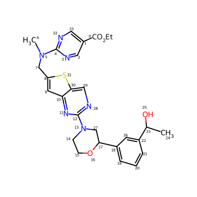 CCOC(=O)c1cnc(N(C)Cc2cc3nc(N4CCOC(c5cccc(C(C)O)c5)C4)ncc3s2)nc1